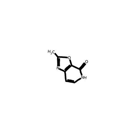 Cc1nc2cc[nH]c(=O)c2o1